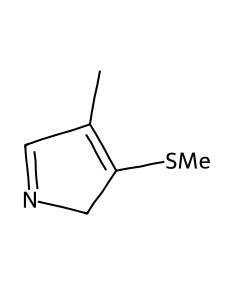 CSC1=C(C)C=NC1